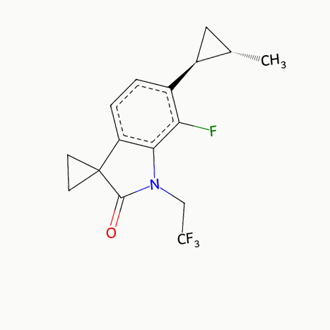 C[C@H]1C[C@@H]1c1ccc2c(c1F)N(CC(F)(F)F)C(=O)C21CC1